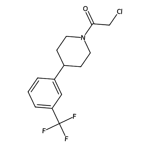 O=C(CCl)N1CCC(c2cccc(C(F)(F)F)c2)CC1